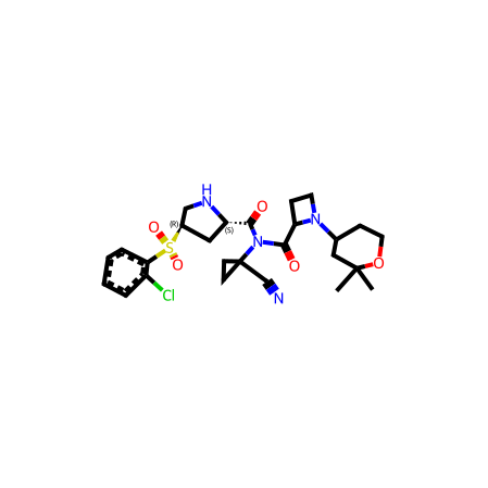 CC1(C)CC(N2CCC2C(=O)N(C(=O)[C@@H]2C[C@@H](S(=O)(=O)c3ccccc3Cl)CN2)C2(C#N)CC2)CCO1